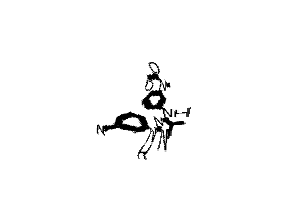 Cc1cnc(Nc2cccc(C#N)c2)nc1Nc1ccc2c(c1)N(C)C(=O)CO2